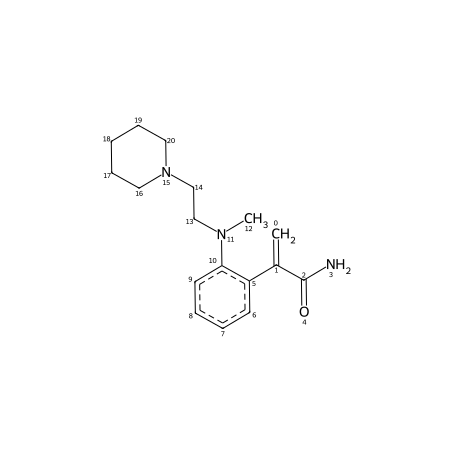 C=C(C(N)=O)c1ccccc1N(C)CCN1CCCCC1